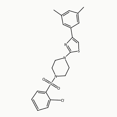 Cc1cc(C)cc(-c2csc(N3CCN(S(=O)(=O)c4ccccc4Cl)CC3)n2)c1